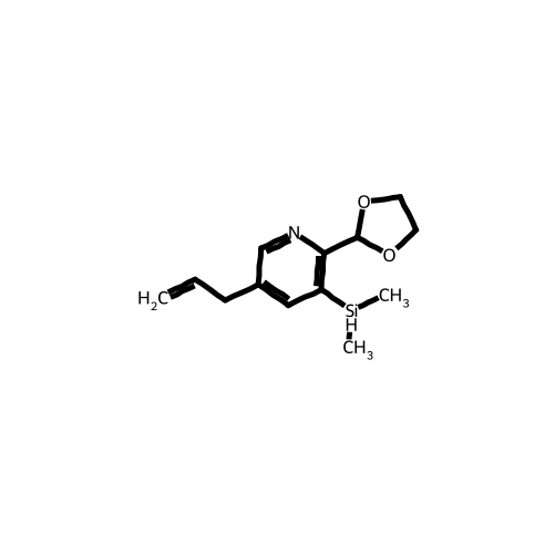 C=CCc1cnc(C2OCCO2)c([SiH](C)C)c1